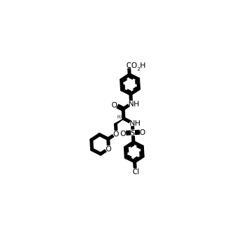 O=C(O)c1ccc(NC(=O)[C@H](COC2CCCCO2)NS(=O)(=O)c2ccc(Cl)cc2)cc1